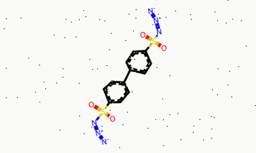 [N-]=[N+]=NS(=O)(=O)c1ccc(-c2ccc(S(=O)(=O)N=[N+]=[N-])cc2)cc1